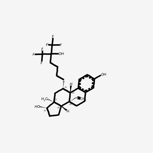 C=C[C@@]12CCc3cc(O)ccc3[C@H]1[C@@H](CCCCC(O)(C(F)(F)F)C(F)(F)F)C[C@@]1(C)[C@H]2CC[C@@H]1O